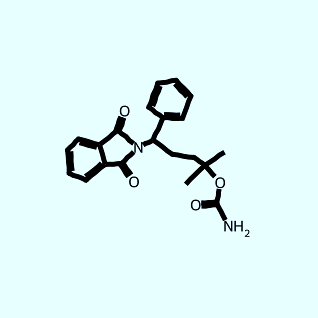 CC(C)(CCC(c1ccccc1)N1C(=O)c2ccccc2C1=O)OC(N)=O